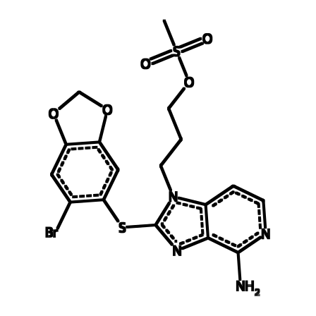 CS(=O)(=O)OCCCn1c(Sc2cc3c(cc2Br)OCO3)nc2c(N)nccc21